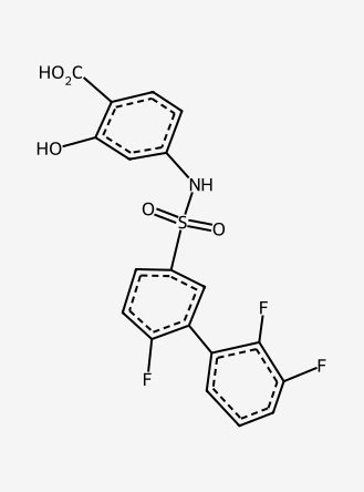 O=C(O)c1ccc(NS(=O)(=O)c2ccc(F)c(-c3cccc(F)c3F)c2)cc1O